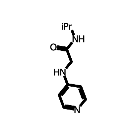 CC(C)NC(=O)CNc1ccncc1